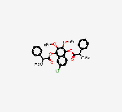 CCCOc1c(OCCC)c(OC(=O)C(OC)c2ccccc2)c2cc(Cl)ccc2c1OC(=O)C(OC)c1ccccc1